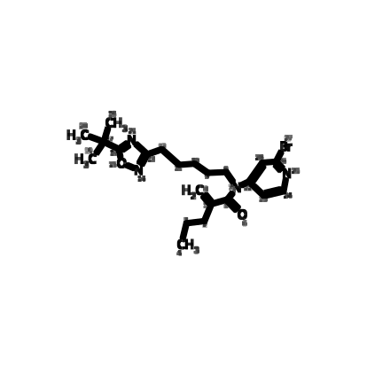 C=C(CCC)C(=O)N(CCCCCc1noc(C(C)(C)C)n1)c1ccnc(Br)c1